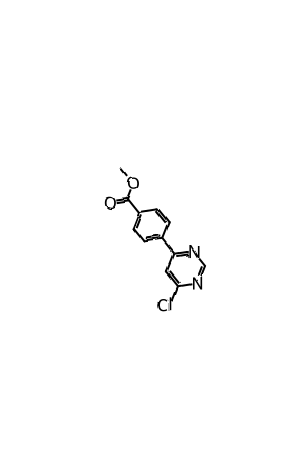 COC(=O)c1ccc(-c2cc(Cl)ncn2)cc1